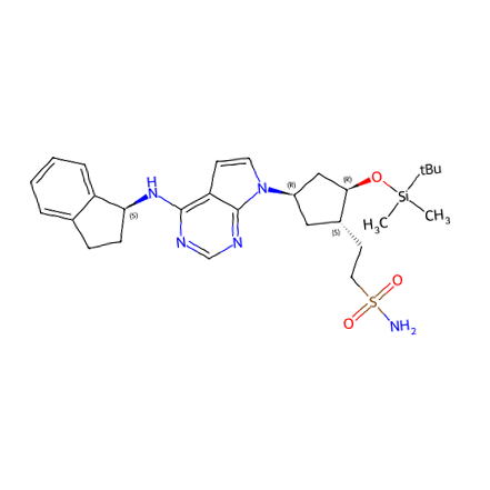 CC(C)(C)[Si](C)(C)O[C@@H]1C[C@H](n2ccc3c(N[C@H]4CCc5ccccc54)ncnc32)C[C@H]1CCS(N)(=O)=O